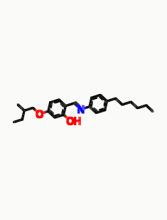 CCCCCCc1ccc(N=Cc2ccc(OCC(C)CC)cc2O)cc1